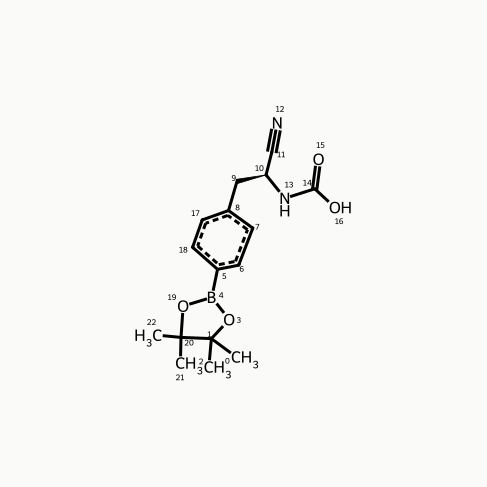 CC1(C)OB(c2ccc(C[C@@H](C#N)NC(=O)O)cc2)OC1(C)C